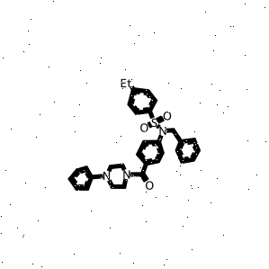 CCc1ccc(S(=O)(=O)N(Cc2ccccc2)c2ccc(C(=O)N3CCN(c4ccccc4)CC3)cc2)cc1